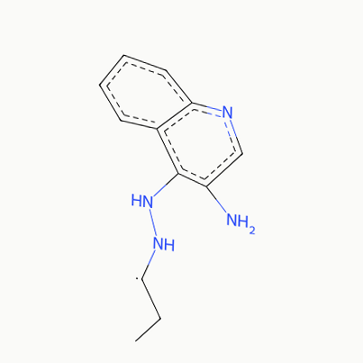 CC[CH]NNc1c(N)cnc2ccccc12